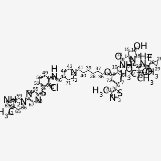 Cc1ncsc1-c1ccc(CNC(=O)[C@@H]2C[C@@H](O)CN2C(=O)[C@@H](NC(=O)C2(F)CC2)C(C)(C)C)c(OCCCCCCN2CCC(CNc3cccc(Sc4cnc(N5CCC(C)(CN)CC5)cn4)c3Cl)CC2)c1